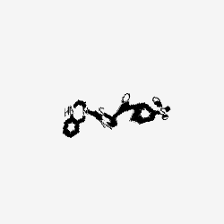 CS(=O)(=O)c1cccc(C(=O)c2cnc(N3CCNc4ccccc4C3)s2)c1